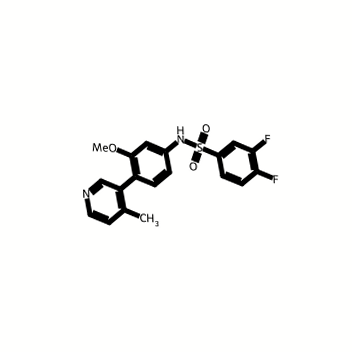 COc1cc(NS(=O)(=O)c2ccc(F)c(F)c2)ccc1-c1cnccc1C